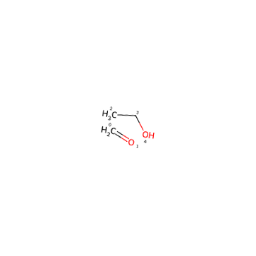 C=O.CCO